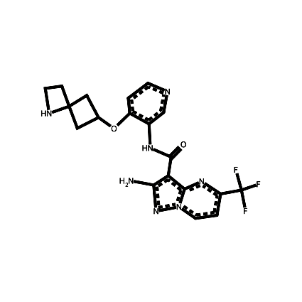 Nc1nn2ccc(C(F)(F)F)nc2c1C(=O)Nc1cnccc1OC1CC2(CCN2)C1